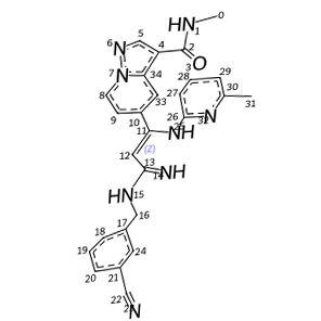 CNC(=O)c1cnn2ccc(/C(=C/C(=N)NCc3cccc(C#N)c3)Nc3cccc(C)n3)cc12